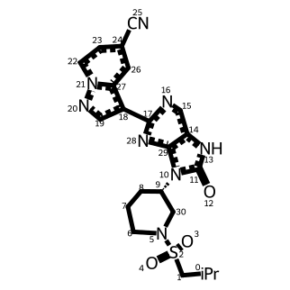 CC(C)CS(=O)(=O)N1CCC[C@H](n2c(=O)[nH]c3cnc(-c4cnn5ccc(C#N)cc45)nc32)C1